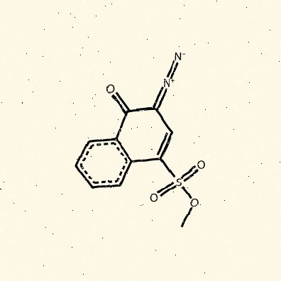 COS(=O)(=O)C1=CC(=[N+]=[N-])C(=O)c2ccccc21